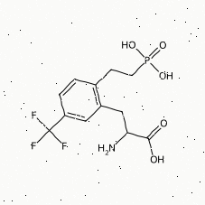 NC(Cc1cc(C(F)(F)F)ccc1CCP(=O)(O)O)C(=O)O